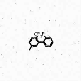 Cc1ccc(C(F)(F)F)c(-c2ccccc2F)c1